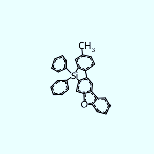 Cc1ccc2c(c1)[Si](c1ccccc1)(c1ccccc1)c1cc3oc4ccccc4c3cc1-2